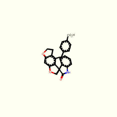 O=C(O)c1ccc(Cc2c3c(cc4c2C2(CO4)C(=O)Nc4ccccc42)OCC3)cc1